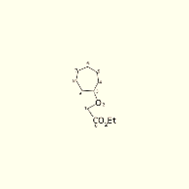 CCOC(=O)COC1CCCCCC1